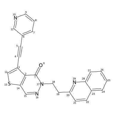 O=c1c2c(C#Cc3cccnc3)csc2cnn1CCc1ccc2ccccc2n1